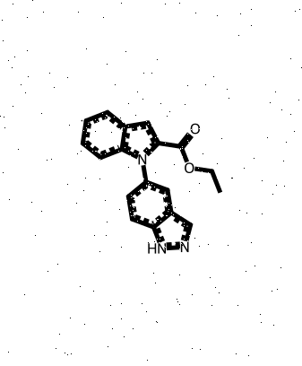 CCOC(=O)c1cc2c[c]ccc2n1-c1ccc2[nH]ncc2c1